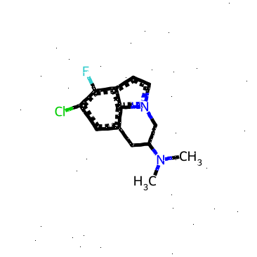 CN(C)C1Cc2cc(Cl)c(F)c3ccn(c23)C1